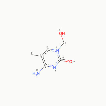 Cc1cn(CO)c(=O)nc1N